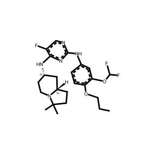 CCCOc1ccc(Nc2ncc(F)c(N[C@H]3CCN4[C@@H](CCC4(C)C)C3)n2)cc1OC(F)F